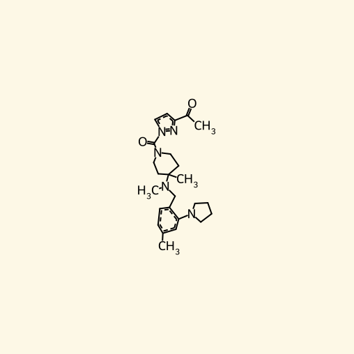 CC(=O)c1ccn(C(=O)N2CCC(C)(N(C)Cc3ccc(C)cc3N3CCCC3)CC2)n1